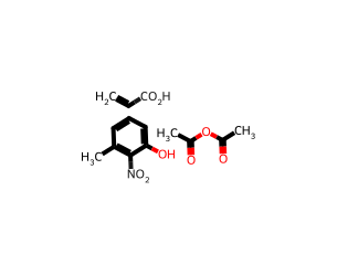 C=CC(=O)O.CC(=O)OC(C)=O.Cc1cccc(O)c1[N+](=O)[O-]